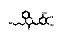 CC(C)(C)c1cc(/C=C2\Sc3ccccc3N(CCCC#N)C2=O)cc(C(C)(C)C)c1O